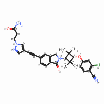 CC1(C)[C@H](Oc2ccc(C#N)c(Cl)c2)C(C)(C)[C@H]1N1Cc2cc(C#Cc3cnn(CCC(N)=O)c3)ccc2C1=O